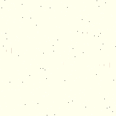 O=S(O)OCC(Cl)Cl